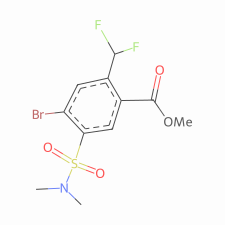 COC(=O)c1cc(S(=O)(=O)N(C)C)c(Br)cc1C(F)F